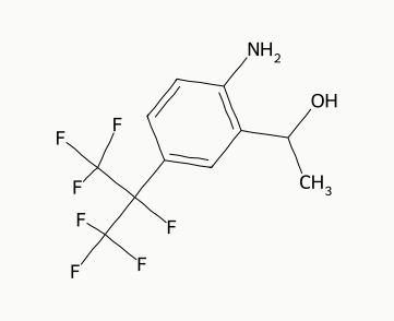 CC(O)c1cc(C(F)(C(F)(F)F)C(F)(F)F)ccc1N